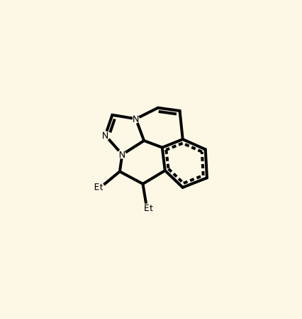 CCC1c2cccc3c2C2N(C=C3)C=NN2C1CC